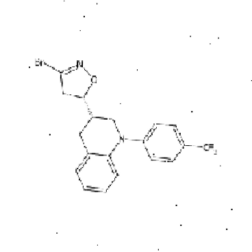 FC(F)(F)c1ccc(N2CC([C@@H]3CC(Br)=NO3)Cc3ccccc32)cc1